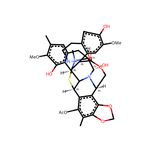 COc1cc2c(cc1O)CCN[C@]21CS[C@@H]2c3c(OC(C)=O)c(C)c4c(c3[C@H](COC1=O)N1C2[C@H]2c3c(cc(C)c(OC)c3O)C[C@@H]([C@@H]1O)N2C)OCO4